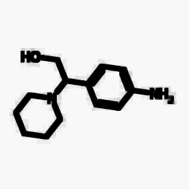 Nc1ccc(C(CO)N2CCCCC2)cc1